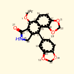 CC(C)Oc1c2c(c(-c3ccc4c(c3)OCO4)c3c4c(ccc13)OCO4)CNC2=O